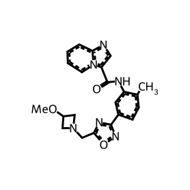 COC1CN(Cc2nc(-c3ccc(C)c(NC(=O)c4cnc5ccccn45)c3)no2)C1